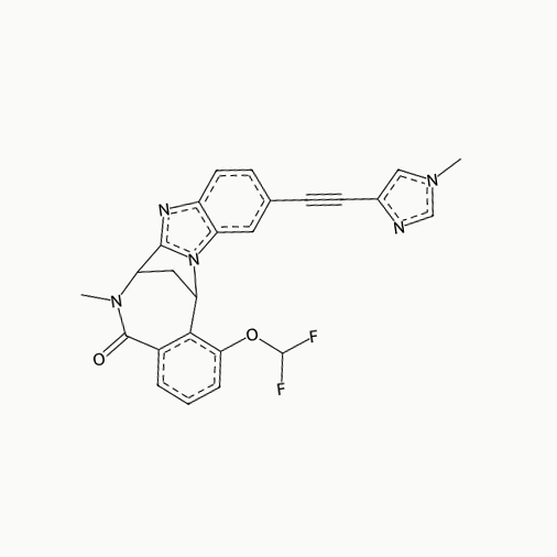 CN1C(=O)c2cccc(OC(F)F)c2C2CC1c1nc3ccc(C#Cc4cn(C)cn4)cc3n12